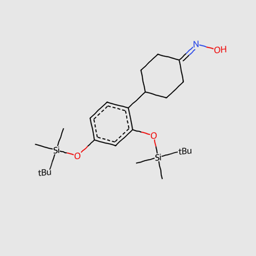 CC(C)(C)[Si](C)(C)Oc1ccc(C2CCC(=NO)CC2)c(O[Si](C)(C)C(C)(C)C)c1